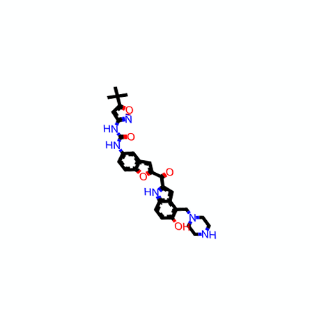 CC(C)(C)c1cc(NC(=O)Nc2ccc3oc(C(=O)c4cc5c(CN6CCNCC6)c(O)ccc5[nH]4)cc3c2)no1